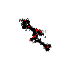 COc1ccc(C#CCNC2(C)CCN(C3CCN(c4nc([C@@](COCNC(=O)CNC(=O)[C@H](Cc5ccccc5)NC(=O)CNC(=O)CNC(=O)CCOCCOCCN5C(=O)C(Sc6ccccc6)=C(Sc6ccccc6)C5=O)(OC5CC5)c5ccccc5)c5cc(-c6cn(C)c(=O)c7[nH]ccc67)ccc5n4)CC3)CC2)cc1N1CCC(=O)N(CNC(=O)[C@@H](CC(N)=O)CC(=O)O)C1=O